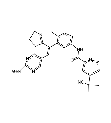 CNc1ncc2c(n1)N1CCN=C1C(c1cc(NC(=O)c3cc(C(C)(C)C#N)ccn3)ccc1C)=C2